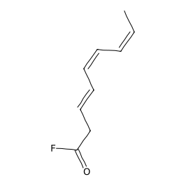 C\C=C/C=C\C=C\CC(=O)F